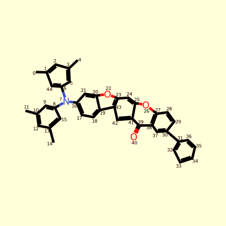 Cc1cc(C)cc(N(c2cc(C)cc(C)c2)c2ccc3c(c2)oc2cc4oc5ccc(-c6ccccc6)cc5c(=O)c4cc23)c1